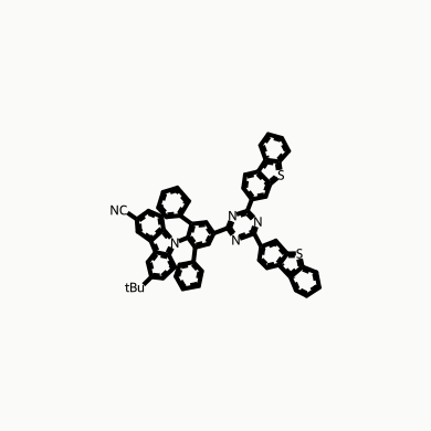 CC(C)(C)c1ccc2c(c1)c1cc(C#N)ccc1n2-c1c(-c2ccccc2)cc(-c2nc(-c3ccc4c(c3)sc3ccccc34)nc(-c3ccc4c(c3)sc3ccccc34)n2)cc1-c1ccccc1